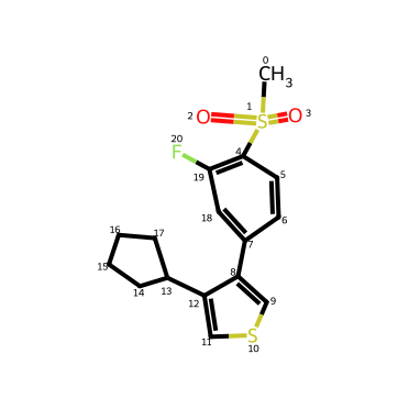 CS(=O)(=O)c1ccc(-c2cscc2C2CCCC2)cc1F